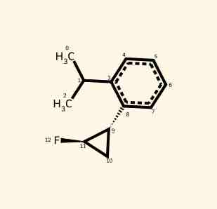 CC(C)c1ccccc1[C@@H]1C[C@H]1F